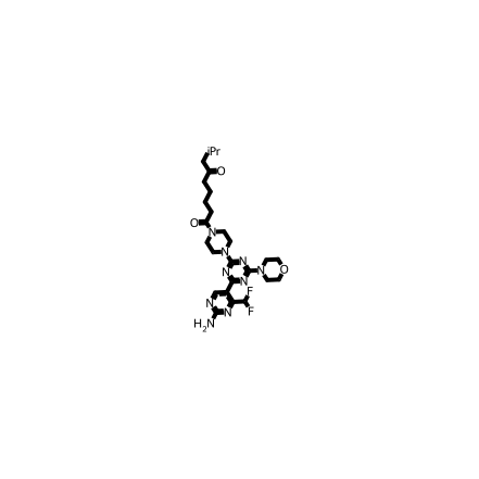 CC(C)CC(=O)CCCCC(=O)N1CCN(c2nc(-c3cnc(N)nc3C(F)F)nc(N3CCOCC3)n2)CC1